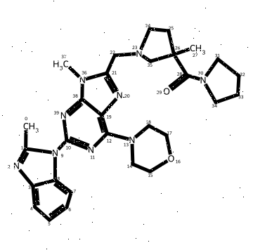 Cc1nc2ccccc2n1-c1nc(N2CCOCC2)c2nc(CN3CCC(C)(C(=O)N4CCCC4)C3)n(C)c2n1